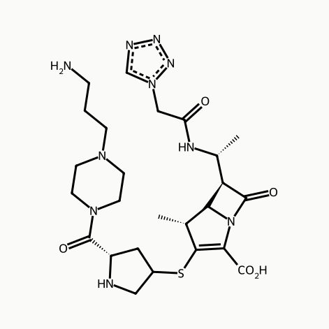 C[C@H]1C(SC2CN[C@H](C(=O)N3CCN(CCCN)CC3)C2)=C(C(=O)O)N2C(=O)[C@H]([C@@H](C)NC(=O)Cn3cnnn3)C12